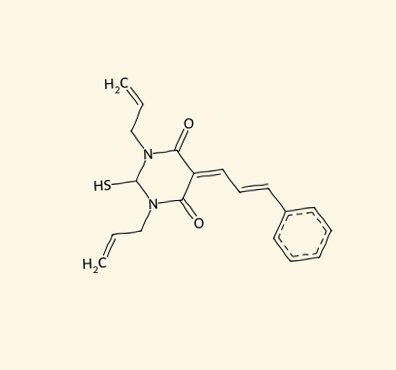 C=CCN1C(=O)C(=C/C=C/c2ccccc2)C(=O)N(CC=C)C1S